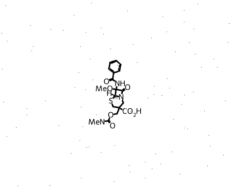 CNC(=O)OCC1(C(=O)O)CS[C@H]2N(C1)C(=O)C2(NC(=O)c1ccccc1)OC